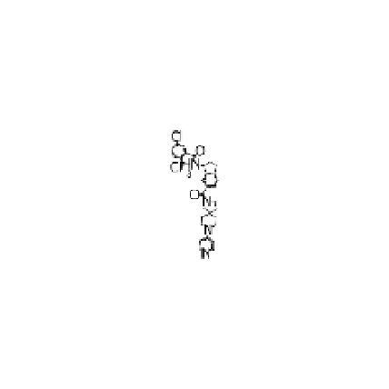 O=C(NC1CCc2ccc(C(=O)N3CCC4(CCN(c5ccncc5)CC4)C3)cc21)c1cc(Cl)ccc1C(F)(F)F